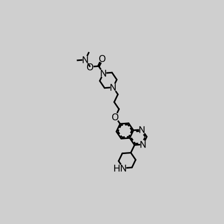 CN(C)OC(=O)N1CCN(CCCOc2ccc3c(C4CCNCC4)ncnc3c2)CC1